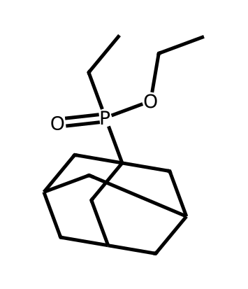 CCOP(=O)(CC)C12CC3CC(CC(C3)C1)C2